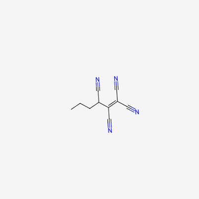 CCCC(C#N)C(C#N)=C(C#N)C#N